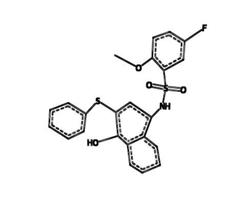 COc1ccc(F)cc1S(=O)(=O)Nc1cc(Sc2ccccc2)c(O)c2ccccc12